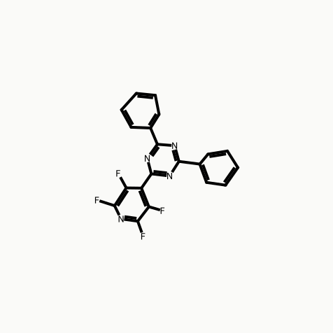 Fc1nc(F)c(F)c(-c2nc(-c3ccccc3)nc(-c3ccccc3)n2)c1F